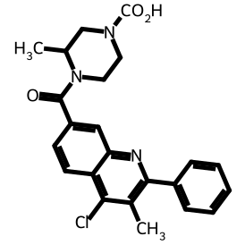 Cc1c(-c2ccccc2)nc2cc(C(=O)N3CCN(C(=O)O)CC3C)ccc2c1Cl